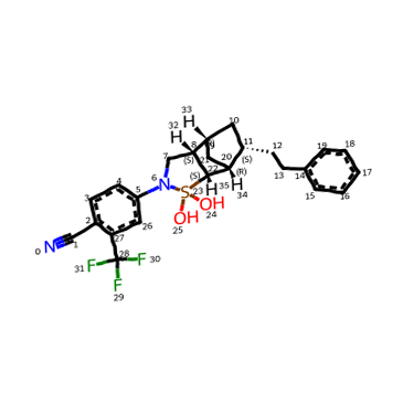 N#Cc1ccc(N2C[C@@H]3[C@@H]4C[C@H](CCc5ccccc5)[C@@H](C4)[C@@H]3S2(O)O)cc1C(F)(F)F